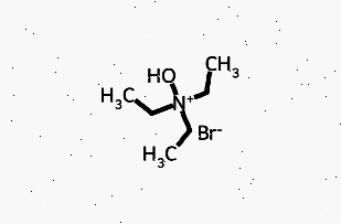 CC[N+](O)(CC)CC.[Br-]